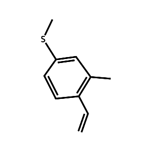 C=Cc1ccc(SC)cc1C